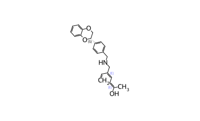 C=C/C(=C\C=C(/C)O)CNCc1ccc([C@H]2COc3ccccc3O2)cc1